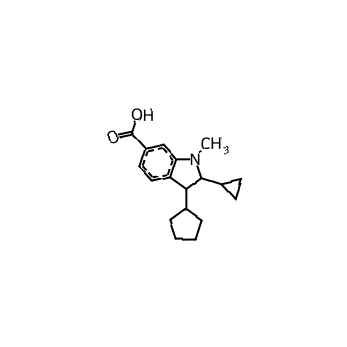 CN1c2cc(C(=O)O)ccc2C(C2CCCC2)C1C1CC1